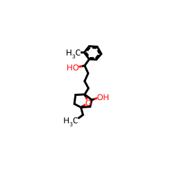 CCC12CCC(CCCC(O)c3ccccc3C)(O1)C(O)C2